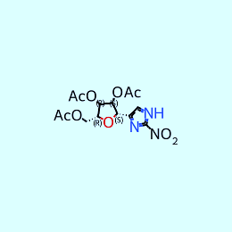 CC(=O)OC[C@H]1O[C@@H](c2c[nH]c([N+](=O)[O-])n2)[C@H](OC(C)=O)[C@@H]1OC(C)=O